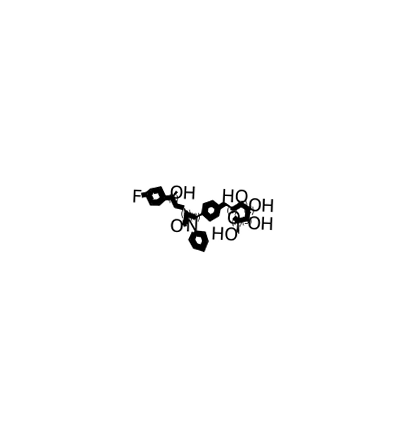 O=C1[C@H](CC[C@H](O)c2ccc(F)cc2)[C@@H](c2ccc(C[C@@H]3O[C@H](CO)[C@@H](O)[C@H](O)[C@@H]3O)cc2)N1c1ccccc1